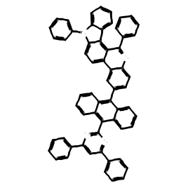 c1ccc(-c2cc(-c3ccccc3)nc(-c3c4ccccc4c(-c4ccc5nc(-c6ccccc6)c6c(ccc7c6c6ccccc6n7-c6ccccc6)c5c4)c4ccccc34)n2)cc1